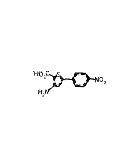 Nc1cc(-c2ccc([N+](=O)[O-])cc2)sc1C(=O)O